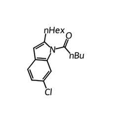 CCCCCCc1cc2ccc(Cl)cc2n1C(=O)CCCC